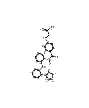 CN(C(=O)c1ccc(OCC(=O)O)cc1)c1ccccc1Sc1ccccc1-c1nnn[nH]1